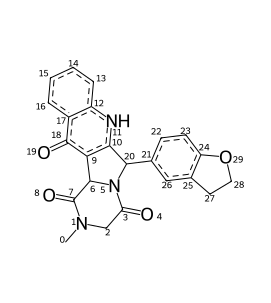 CN1CC(=O)N2C(C1=O)c1c([nH]c3ccccc3c1=O)C2c1ccc2c(c1)CCO2